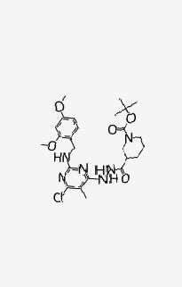 COc1ccc(CNc2nc(Cl)c(C)c(NNC(=O)C3CCCN(C(=O)OC(C)(C)C)C3)n2)c(OC)c1